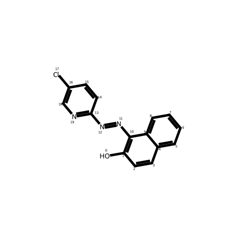 Oc1ccc2ccccc2c1N=Nc1ccc(Cl)cn1